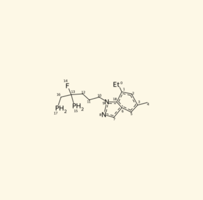 CCc1cc(C)cc2cnn(CCCC(F)(P)CP)c12